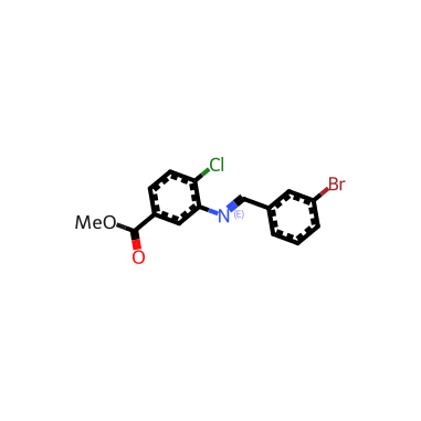 COC(=O)c1ccc(Cl)c(/N=C/c2cccc(Br)c2)c1